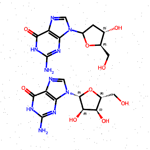 Nc1nc2c(ncn2C2C[C@H](O)[C@@H](CO)O2)c(=O)[nH]1.Nc1nc2c(ncn2[C@@H]2O[C@H](CO)[C@@H](O)[C@H]2O)c(=O)[nH]1